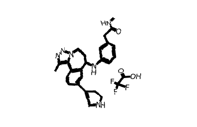 CNC(=O)Cc1cccc(NC2CCn3nnc(C)c3-c3ccc(C4=CCNCC4)cc32)c1.O=C(O)C(F)(F)F